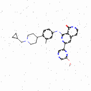 COc1cncc(-c2cc3cc[nH]c(=O)c3c(Nc3ccc(C4CCN(CC5CC5)CC4)c(C)c3)n2)n1